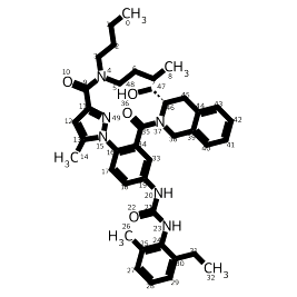 CCCCN(CCCC)C(=O)c1cc(C)n(-c2ccc(NC(=O)Nc3c(C)cccc3CC)cc2C(=O)N2Cc3ccccc3C[C@H]2CO)n1